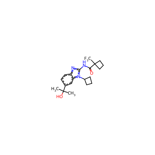 CC(C)(O)c1ccc2nc(NC(=O)C3(C(F)(F)F)CCC3)n(C3CCC3)c2c1